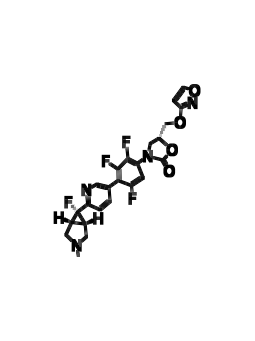 CN1C[C@@H]2[C@H](C1)[C@@]2(F)c1ccc(-c2c(F)cc(N3C[C@H](COc4ccon4)OC3=O)c(F)c2F)cn1